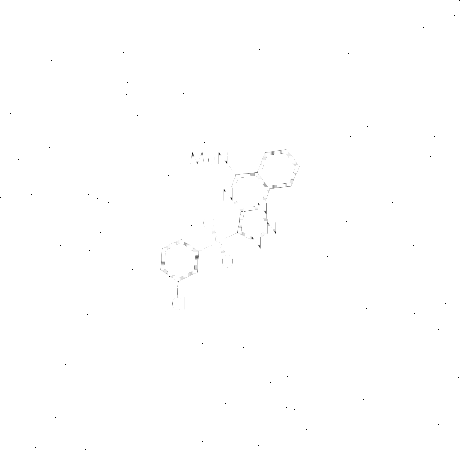 CNc1nc2c(S(=O)(=O)c3cccc(Cl)c3)nnn2c2ccccc12